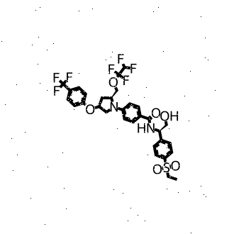 CCS(=O)(=O)c1ccc([C@H](CO)NC(=O)c2ccc(N3CC(Oc4ccc(C(F)(F)F)cc4)C[C@H]3COC(F)(F)C(F)F)cc2)cc1